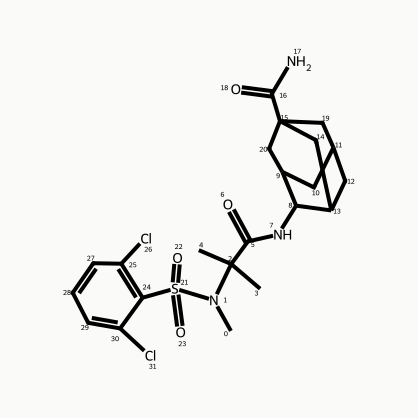 CN(C(C)(C)C(=O)NC1C2CC3CC1CC(C(N)=O)(C3)C2)S(=O)(=O)c1c(Cl)cccc1Cl